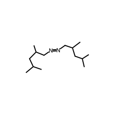 CC(C)CC(C)CN=NCC(C)CC(C)C